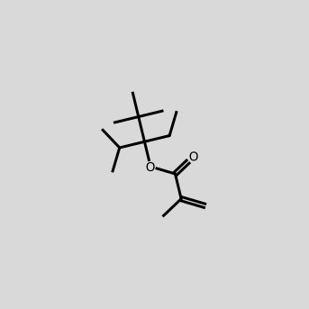 C=C(C)C(=O)OC(CC)(C(C)C)C(C)(C)C